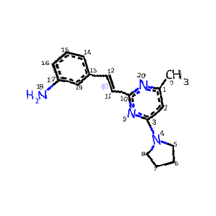 Cc1cc(N2CCCC2)nc(/C=C/c2cccc(N)c2)n1